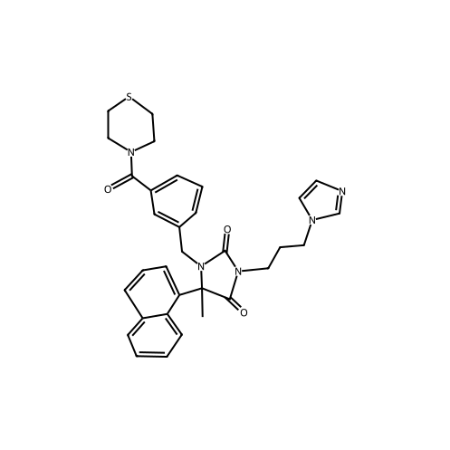 CC1(c2cccc3ccccc23)C(=O)N(CCCn2ccnc2)C(=O)N1Cc1cccc(C(=O)N2CCSCC2)c1